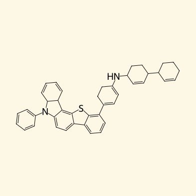 C1=CC2c3c(ccc4c3sc3c(C5=CC=C(NC6C=CC(C7C=CCCC7)CC6)CC5)cccc34)N(c3ccccc3)C2C=C1